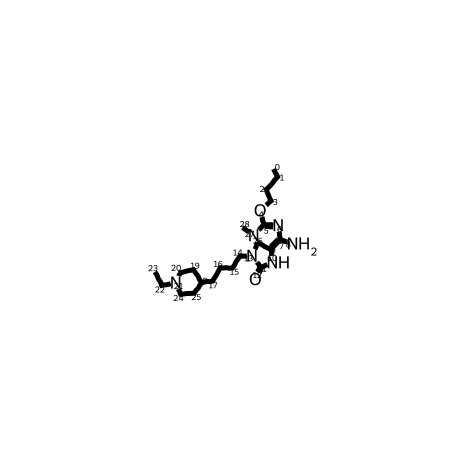 CCCCOC1=NC(N)=C2NC(=O)N(CCCCC3CCN(CC)CC3)C2N1C